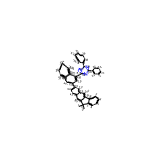 CC1(C)c2ccccc2-c2cc3cc(-c4cc(-c5nc(-c6ccccc6)nc(-c6ccccc6)n5)c5ccccc5c4)ccc3cc21